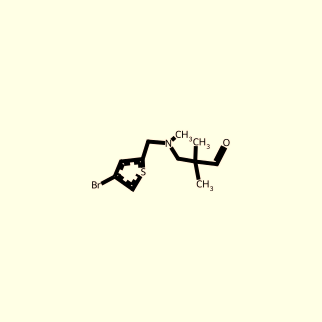 CN(Cc1cc(Br)cs1)CC(C)(C)C=O